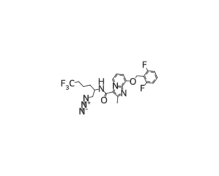 Cc1nc2c(OCc3c(F)cccc3F)cccn2c1C(=O)NC(CCCC(F)(F)F)CN=[N+]=[N-]